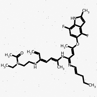 C=C/C(=C\C=C(/C)NC(/C=C(\C)Oc1cc(F)c2[nH]c(C)cc2c1F)=N/C=C/CCC)NCCN(CC)C(C)=O